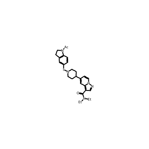 CCN(CC)C(=O)c1cnn2ccc(C3CCN(Sc4ccc5c(c4)CCN5C(C)=O)CC3)cc12